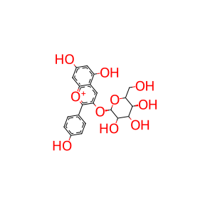 OCC1O[C@H](Oc2cc3c(O)cc(O)cc3[o+]c2-c2ccc(O)cc2)C(O)C(O)[C@@H]1O